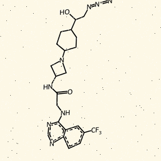 [N-]=[N+]=NCC(O)C1CCC(N2CC(NC(=O)CNc3ncnc4ccc(C(F)(F)F)cc34)C2)CC1